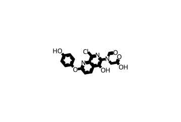 O=CN(CC(=O)O)c1nc(Cl)c2nc(Oc3ccc(O)cc3)ccc2c1O